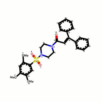 COc1cc(OC)c(S(=O)(=O)N2CCN(C(=O)C=C(c3ccccc3)c3ccccc3)CC2)cc1OC